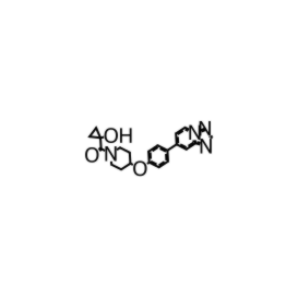 O=C(N1CCC(Oc2ccc(-c3ccn4ncnc4c3)cc2)CC1)C1(O)CC1